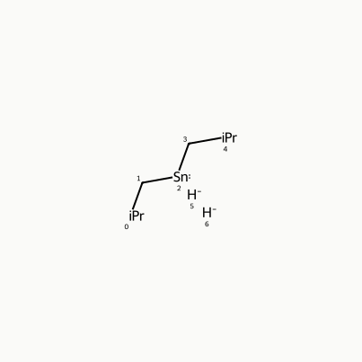 CC(C)[CH2][Sn][CH2]C(C)C.[H-].[H-]